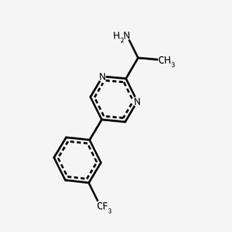 CC(N)c1ncc(-c2cccc(C(F)(F)F)c2)cn1